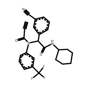 C#CC(=O)N(c1cccc(C(F)(F)F)c1)C(C(=O)NC1CCCCC1)c1cccc(C#N)c1